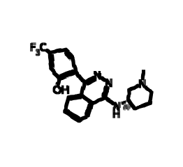 CN1CCC[C@H](Nc2nnc(-c3ccc(C(F)(F)F)cc3O)c3ccccc23)C1